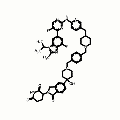 Cc1nc2c(F)cc(-c3nc(Nc4ccc(CC5CCN(Cc6ccc(CN7CCC(O)(c8ccc9c(c8)CN(C8CCC(=O)NC8=O)C9=O)CC7)cc6)CC5)cn4)ncc3F)cc2n1C(C)C